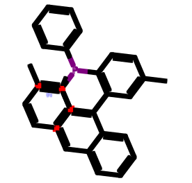 C/C=C(\C)c1ccc2ccccc2c1-c1cc(C)ccc1P(c1ccccc1)c1ccccc1